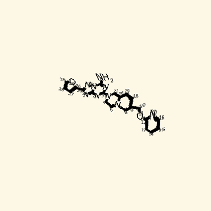 Nc1nc(N2CCN3CC(COc4ccccn4)CCC3C2)nc2nc(-c3ccco3)nn12